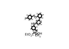 CCOC(=O)N=[SH](C)(O)Cc1cccc(Nc2ncnc(-c3ccccc3OCc3ccc(F)cc3)n2)c1